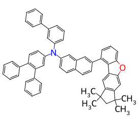 CC1(C)CC(C)(C)c2cc3c(cc21)oc1cccc(-c2ccc4ccc(N(c5cccc(-c6ccccc6)c5)c5ccc(-c6ccccc6)c(-c6ccccc6)c5)cc4c2)c13